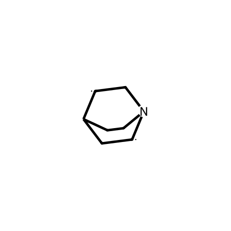 [CH]1CN2[CH]CC1CC2